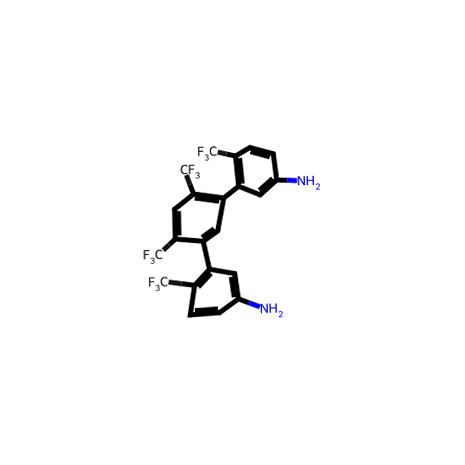 Nc1ccc(C(F)(F)F)c(-c2cc(-c3cc(N)ccc3C(F)(F)F)c(C(F)(F)F)cc2C(F)(F)F)c1